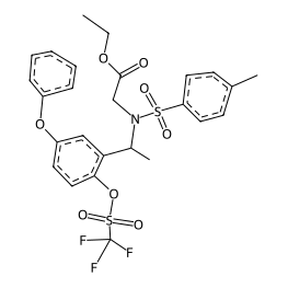 CCOC(=O)CN(C(C)c1cc(Oc2ccccc2)ccc1OS(=O)(=O)C(F)(F)F)S(=O)(=O)c1ccc(C)cc1